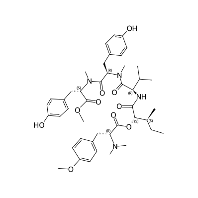 CC[C@H](C)[C@H](OC(=O)[C@@H](Cc1ccc(OC)cc1)N(C)C)C(=O)N[C@@H](C(=O)N(C)[C@H](Cc1ccc(O)cc1)C(=O)N(C)[C@@H](Cc1ccc(O)cc1)C(=O)OC)C(C)C